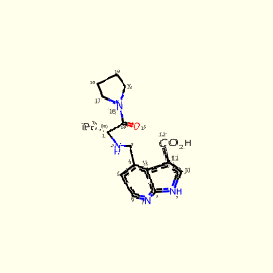 CC(C)[C@@H](NCc1ccnc2[nH]cc(C(=O)O)c12)C(=O)N1CCCC1